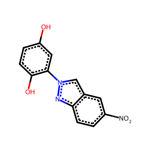 O=[N+]([O-])c1ccc2nn(-c3cc(O)ccc3O)cc2c1